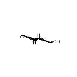 CCCCCCCC/C=C\CCCCCCCCOCC(O)CNc1ccc(NCC(O)COCCCCCCCC/C=C\CCCCCCCC)cc1